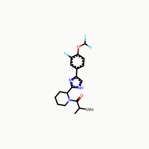 CSC(C)C(=O)N1CCCCC1c1nc(-c2ccc(OC(F)F)c(F)c2)c[nH]1